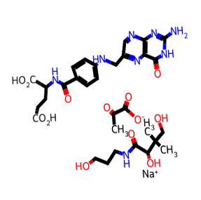 CC(=O)C(=O)[O-].CC(C)(CO)C(O)C(=O)NCCCO.Nc1nc2ncc(CNc3ccc(C(=O)NC(CCC(=O)O)C(=O)O)cc3)nc2c(=O)[nH]1.[Na+]